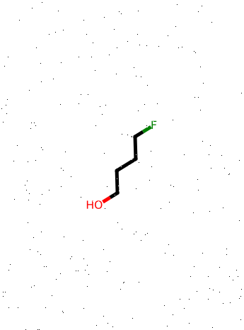 OCCC[CH]F